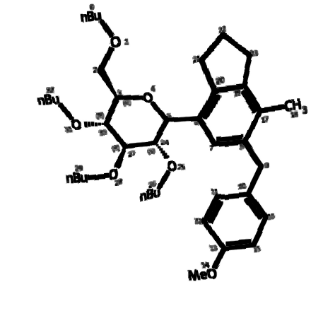 CCCCOC[C@H]1OC(c2cc(Cc3ccc(OC)cc3)c(C)c3c2CCC3)[C@H](OCCCC)[C@@H](OCCCC)[C@@H]1OCCCC